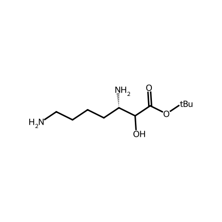 CC(C)(C)OC(=O)C(O)[C@@H](N)CCCCN